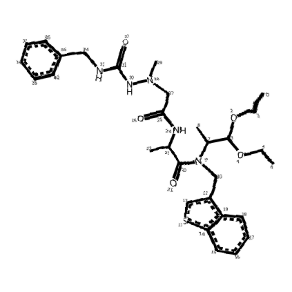 CCOC(OCC)C(C)N(Cc1csc2ccccc12)C(=O)C(C)NC(=O)CN(C)NC(=O)NCc1ccccc1